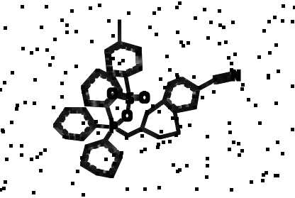 Cc1ccc(S(=O)(=O)OP(CC2CCc3cc(C#N)ccc3C2)(c2ccccc2)(c2ccccc2)c2ccccc2)cc1